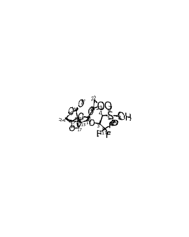 O=C(OC(CS(=O)(=O)O)C(F)(F)F)c1c2c3oc1c(OCC1CO1)c3OC2=O